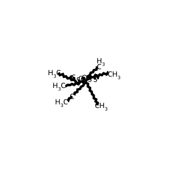 CCCCCCCCCCCCC1=C(c2cc(CCCCCC)c(-c3cc(CCCCCC)cs3)s2)S(=O)(=O)C(c2cc(CCCCCC)c(-c3cc(CCCCCC)cs3)s2)=C1CCCCCCCCCCCC